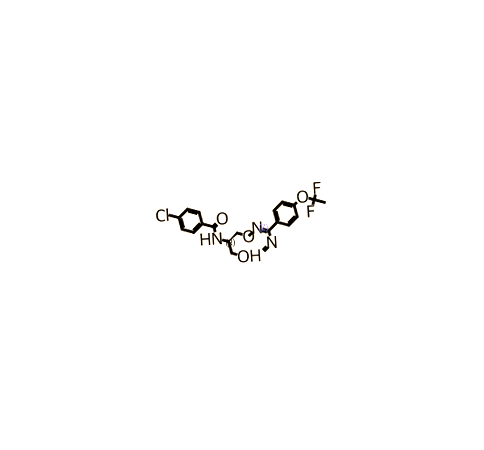 C=N/C(=N\OC[C@@H](CO)NC(=O)c1ccc(Cl)cc1)c1ccc(OC(C)(F)F)cc1